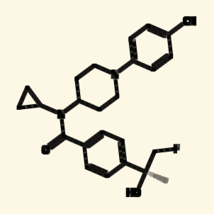 C[C@@](O)(CF)c1ccc(C(=O)N(C2CC2)C2CCN(c3ccc(C#N)cc3)CC2)cc1